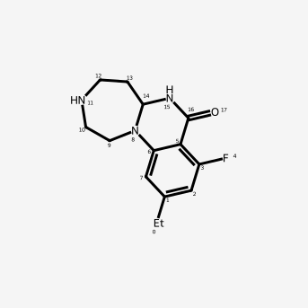 CCc1cc(F)c2c(c1)N1CCNCCC1NC2=O